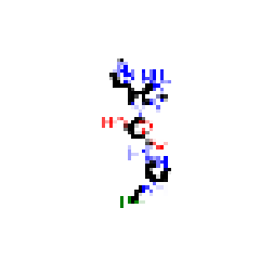 Cn1ccc(-c2cn([C@@H]3O[C@H](C(=O)Nc4cc(NCC(F)F)ccn4)C[C@H]3O)c3ncnc(N)c23)n1